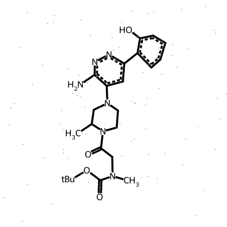 CC1CN(c2cc(-c3ccccc3O)nnc2N)CCN1C(=O)CN(C)C(=O)OC(C)(C)C